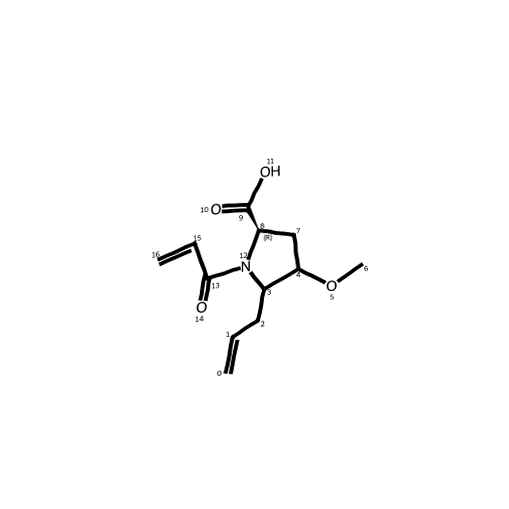 C=CCC1C(OC)C[C@H](C(=O)O)N1C(=O)C=C